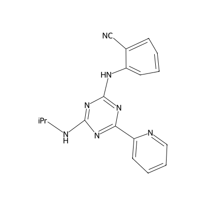 CC(C)Nc1nc(Nc2ccccc2C#N)nc(-c2ccccn2)n1